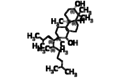 CC(C)CCC[C@@H](C)[C@@H](CC(C)C)[C@@]1(C)CCC2=C(CC[C@H]3C(C)(C)[C@@H](O)CC[C@]23C)C1O